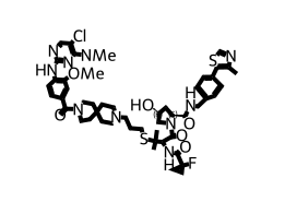 CNc1nc(Nc2ccc(C(=O)N3CCC4(CCN(CCCSC(C)(C)C(NC(=O)C5(F)CC5)C(=O)N5C[C@H](O)C[C@H]5C(=O)NCc5ccc(-c6scnc6C)cc5)CC4)CC3)cc2OC)ncc1Cl